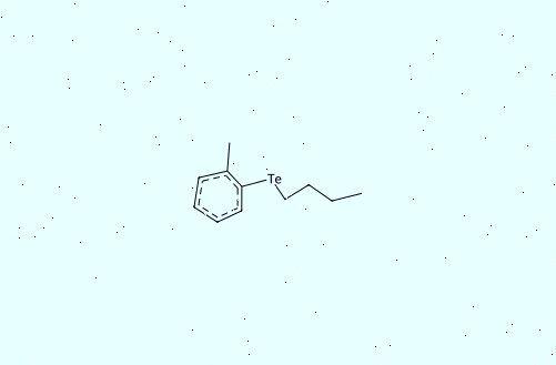 CCCC[Te]c1ccccc1C